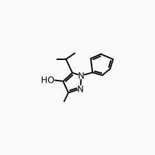 Cc1nn(-c2ccccc2)c(C(C)C)c1O